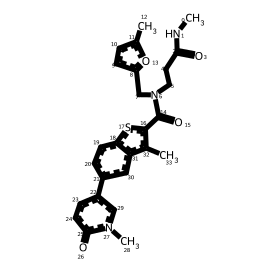 CNC(=O)CCN(Cc1ccc(C)o1)C(=O)c1sc2ccc(-c3ccc(=O)n(C)c3)cc2c1C